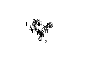 CCc1cnn2c(NCc3ccc(-c4ccccn4)cc3)nc(NC[C@H](O)CCC(C)[C@@H](N)C(=O)O)nc12